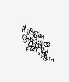 Cc1c(F)cc2c(cnn2C2CCCCO2)c1-c1c(C2CC2)cc2c(N3C[C@@H]4C[C@H]3CN4C(=O)O)nc(OC3CCOCC3)nc2c1OCc1ccc(C(C)(C)C)cc1CO